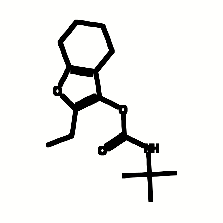 CCc1oc2c(c1OC(=O)NC(C)(C)C)CCCC2